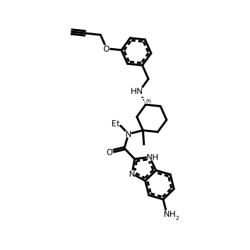 C#CCOc1cccc(CN[C@@H]2CCCC(C)(N(CC)C(=O)c3nc4cc(N)ccc4[nH]3)C2)c1